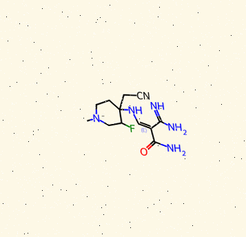 CN1CCC(CC#N)(N/C=C(\C(=N)N)C(N)=O)C(F)C1